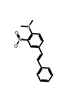 CN(C)c1ccc(C=Cc2ccccc2)cc1[N+](=O)[O-]